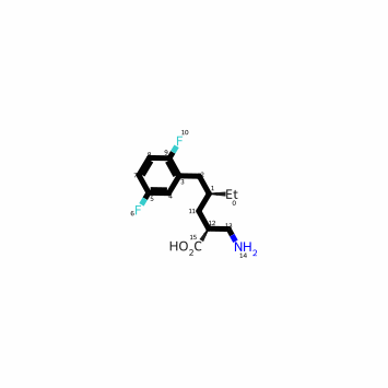 CC[C@H](Cc1cc(F)ccc1F)C[C@@H](CN)C(=O)O